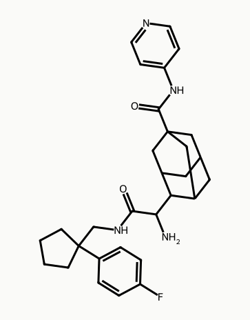 NC(C(=O)NCC1(c2ccc(F)cc2)CCCC1)C1C2CC3CC1CC(C(=O)Nc1ccncc1)(C3)C2